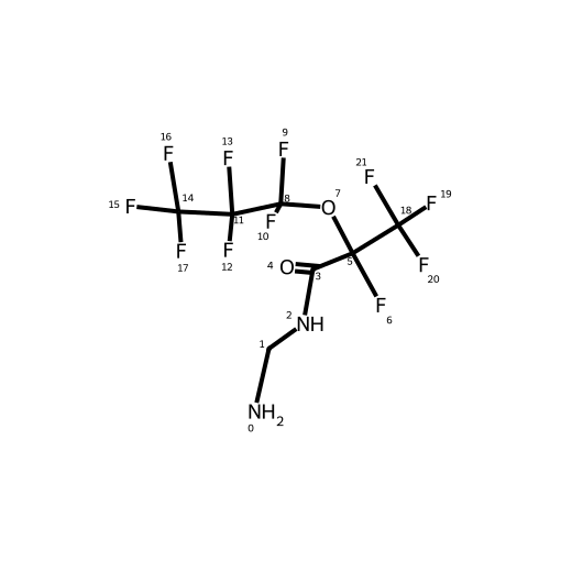 NCNC(=O)C(F)(OC(F)(F)C(F)(F)C(F)(F)F)C(F)(F)F